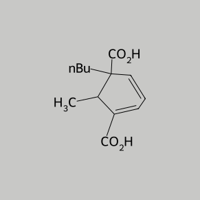 CCCCC1(C(=O)O)C=CC=C(C(=O)O)C1C